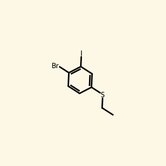 CCSc1ccc(Br)c(I)c1